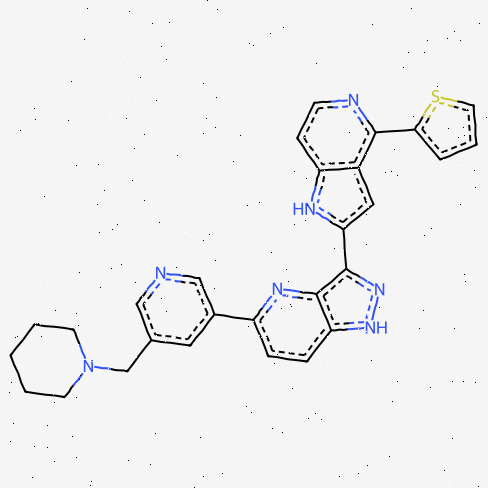 c1csc(-c2nccc3[nH]c(-c4n[nH]c5ccc(-c6cncc(CN7CCCCC7)c6)nc45)cc23)c1